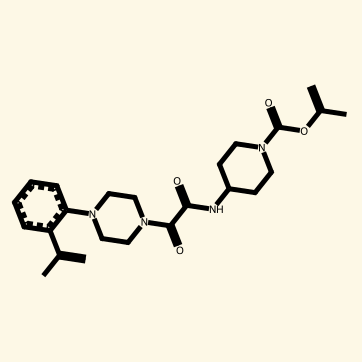 C=C(C)OC(=O)N1CCC(NC(=O)C(=O)N2CCN(c3ccccc3C(=C)C)CC2)CC1